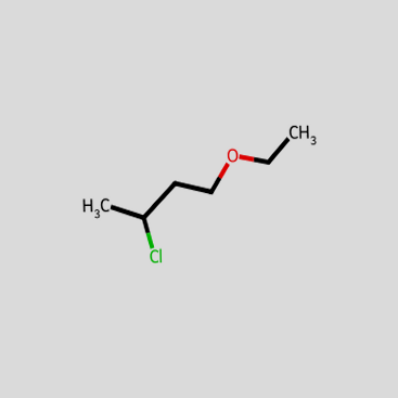 CCOCCC(C)Cl